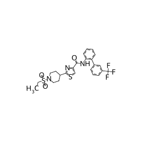 CCS(=O)(=O)N1CCC(c2nc(C(=O)Nc3ccccc3-c3cccc(C(F)(F)F)c3)cs2)CC1